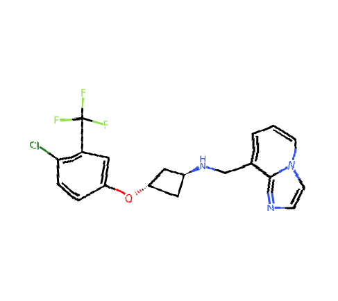 FC(F)(F)c1cc(O[C@H]2C[C@H](NCc3cccn4ccnc34)C2)ccc1Cl